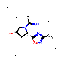 CC(=N)N1C[C@H](O)C[C@H]1c1nc(C)no1